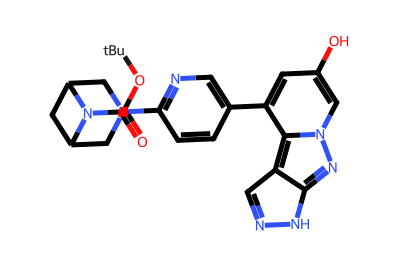 CC(C)(C)OC(=O)N1C2CC1CN(c1ccc(-c3cc(O)cn4nc5[nH]ncc5c34)cn1)C2